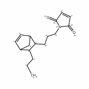 CCCC1C2C=CC(C2)C1CCCN1C(=O)C=CC1=O